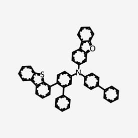 c1ccc(-c2ccc(N(c3ccc(-c4cccc5c4sc4ccccc45)c(-c4ccccc4)c3)c3ccc4c(c3)oc3ccccc34)cc2)cc1